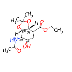 CCOC(=O)C1C[C@@H](O)[C@@H](NC(C)=O)[C@@H]2OC(C)(C)O[C@H]12